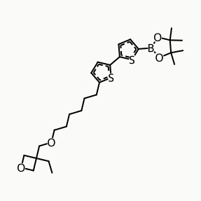 CCC1(COCCCCCCc2ccc(-c3ccc(B4OC(C)(C)C(C)(C)O4)s3)s2)COC1